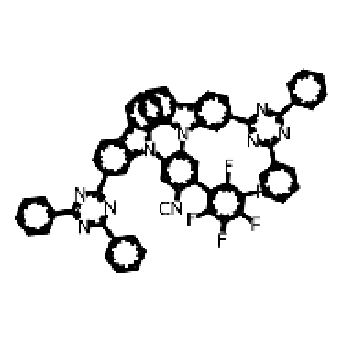 N#Cc1cc(-n2c3ccccc3c3ccc(-c4nc(-c5ccccc5)nc(-c5ccccc5)n4)cc32)c(-n2c3ccccc3c3ccc(-c4nc(-c5ccccc5)nc(-c5ccccc5)n4)cc32)cc1-c1c(F)c(F)c(F)c(F)c1F